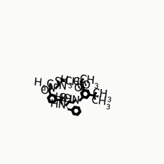 Cc1csc(CN(C)C(=O)c2cccc(C(=O)N[C@@H](Cc3ccccc3)[C@H](O)CNCc3cc(C(C)C)cc(S(=O)(=O)C(C)C)c3)c2)n1